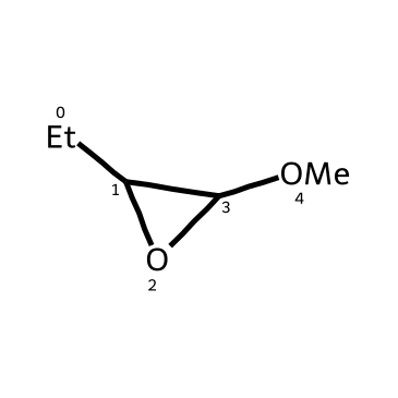 CCC1OC1OC